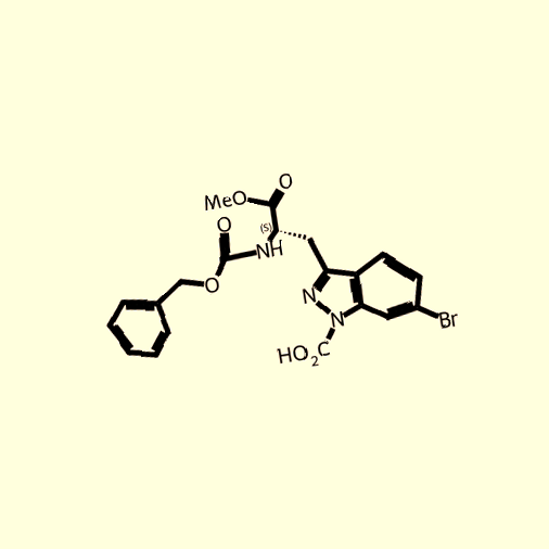 COC(=O)[C@H](Cc1nn(C(=O)O)c2cc(Br)ccc12)NC(=O)OCc1ccccc1